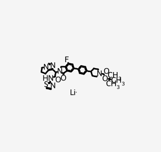 CC(C)(C)OC(=O)N1CCC(c2ccc(-c3cc(F)c4c(c3)C(=O)N(C(C(=O)Nc3nccs3)c3ncn5c3CCC5)C4)cc2)CC1.[Li]